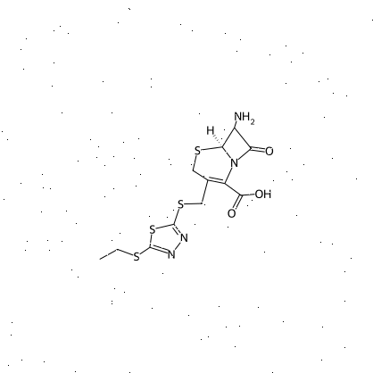 CCSc1nnc(SCC2=C(C(=O)O)N3C(=O)C(N)[C@@H]3SC2)s1